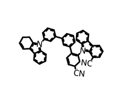 N#Cc1cccc2c3ccccc3n(C3=C(c4cccc(-c5cccc(-n6c7c(c8ccccc86)C=CCC7)c5)c4)C=CC(C#N)C3)c12